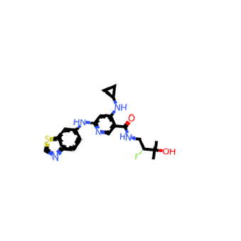 CC(C)(O)[C@H](F)CNC(=O)c1cnc(Nc2ccc3ncsc3c2)cc1NC1CC1